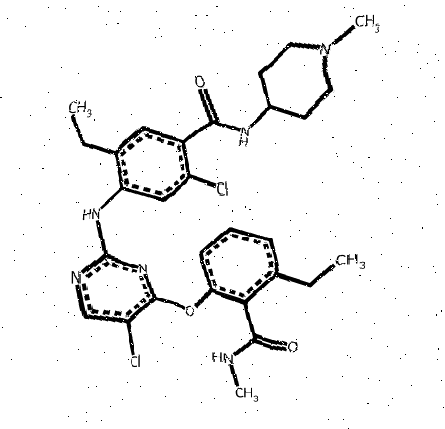 CCc1cc(C(=O)NC2CCN(C)CC2)c(Cl)cc1Nc1ncc(Cl)c(Oc2cccc(CC)c2C(=O)NC)n1